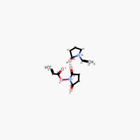 C=CC(=O)ON1C(=O)CCC1=O.C=CN1CCCC1=O